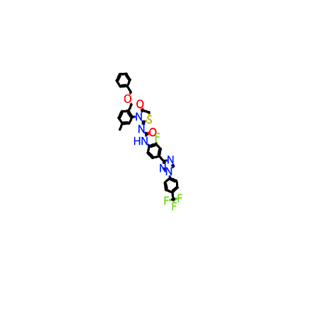 Cc1ccc(COCc2ccccc2)c(N2C(=O)CS/C2=N\C(=O)Nc2ccc(-c3ncn(-c4ccc(C(F)(F)F)cc4)n3)cc2F)c1